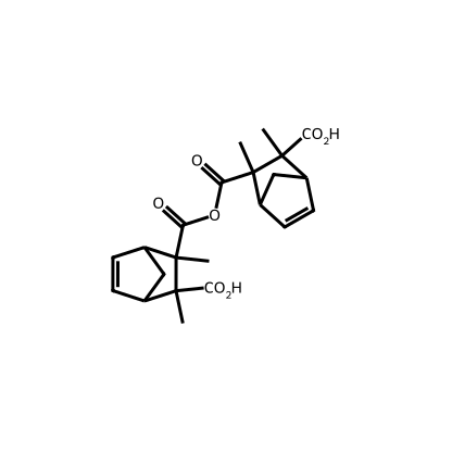 CC1(C(=O)O)C2C=CC(C2)C1(C)C(=O)OC(=O)C1(C)C2C=CC(C2)C1(C)C(=O)O